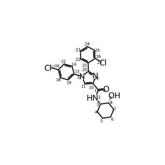 O=C(N[C@@H]1CCCC[C@H]1O)c1cn(-c2ccc(Cl)cc2)c(-c2ccccc2Cl)n1